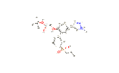 CCCS(=O)(=O)c1cccc(-c2cc(-c3cnn(C)c3)ccc2OCC(=O)OC(C)(C)C)c1